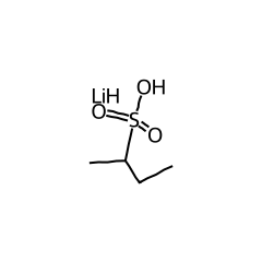 CCC(C)S(=O)(=O)O.[LiH]